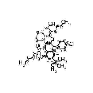 CCCCOC(=O)N(CC1CCCCC1)c1c(C)cc(C(C)(C)C)cc1C(C(=O)OCC(CC)CCCC)c1ccc(Cl)cc1